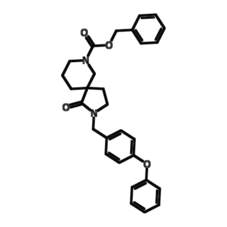 O=C(OCc1ccccc1)N1CCCC2(CCN(Cc3ccc(Oc4ccccc4)cc3)C2=O)C1